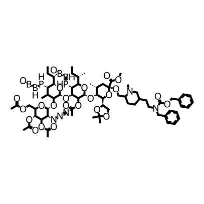 CC[C@H](C)C1O[C@H](O[C@H]2C([C@H]3COC(C)(C)O3)O[C@@](OCC3CCC(CCN(Cc4ccccc4)C(=O)OCc4ccccc4)CN3C)(C(=O)OC)C[C@H]2C)C(OC(C)=O)[C@@H](O[C@H]2O[C@@H]([C@@H](C)CC)[C@@H](PBB=O)C(C)C2O[C@H]2OC(COC(C)=O)[C@@H](OC(C)=O)C(OC(C)=O)[C@H]2N=[N+]=[N-])[C@@H]1PBB=O